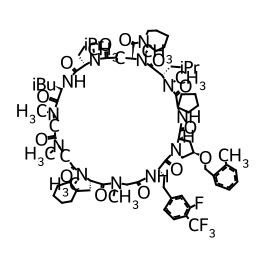 CC[C@H](C)[C@@H]1NC(=O)[C@H](CC(C)C)N(C)C(=O)C[C@@H](C(=O)N2CCCCC2)N(C)C(=O)[C@H](CC(C)C)N(C)C(=O)C2(CCCC2)NC(=O)[C@@H]2C[C@@H](OCc3ccccc3C)CN2C(=O)[C@H](CCc2ccc(C(F)(F)F)c(F)c2)NC(=O)CN(C)C(=O)[C@H](CC2CCCCC2)N(C)C(=O)CN(C)C(=O)CN(C)C1=O